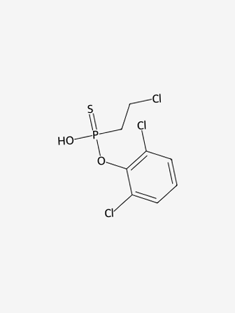 OP(=S)(CCCl)Oc1c(Cl)cccc1Cl